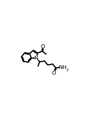 CC(=O)c1cc2ccccc2n1C(C)CCCC(N)=O